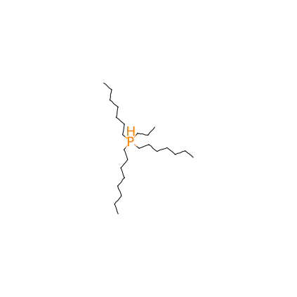 CCCCCCCC[PH](CCC)(CCCCCCC)CCCCCCC